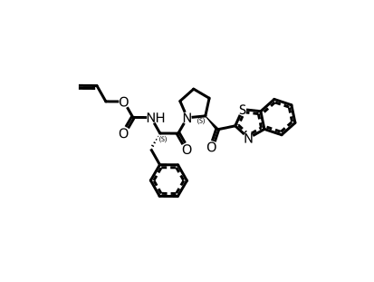 C=CCOC(=O)N[C@@H](Cc1ccccc1)C(=O)N1CCC[C@H]1C(=O)c1nc2ccccc2s1